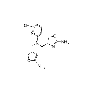 NC1=N[C@@H](CN(C[C@H]2COC(N)=N2)c2cccc(Cl)n2)CO1